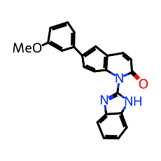 COc1cccc(-c2ccc3c(ccc(=O)n3-c3nc4ccccc4[nH]3)c2)c1